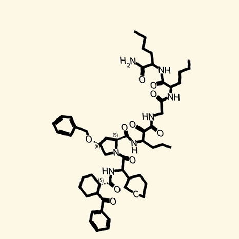 CCCCC(NC(=O)C(CCCC)NC(=O)CNC(=O)C(=O)C(CCC)NC(=O)[C@@H]1C[C@@H](OCc2ccccc2)CN1C(=O)C(NC(=O)[C@H]1CCCCC1C(=O)c1ccccc1)C1CCCCC1)C(N)=O